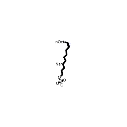 CCCCCCCC/C=C\CCCCCCCCOS(=O)(=O)[O-].[Na+]